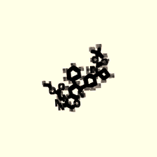 CCOC(=O)c1nnc2n1-c1cc(-c3ccccc3)c(-c3ccc(C4(NC(=O)OC(C)(C)C)CCC4)cc3)nc1OC2